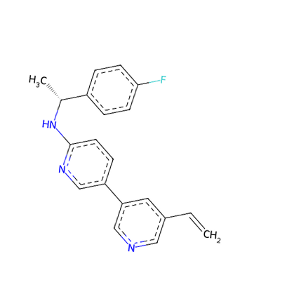 C=Cc1cncc(-c2ccc(N[C@H](C)c3ccc(F)cc3)nc2)c1